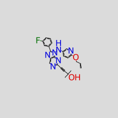 C=CCOc1ccc(Nn2c(-c3cccc(F)c3)nc3cnc(C#CC(C)(C)O)nc32)cn1